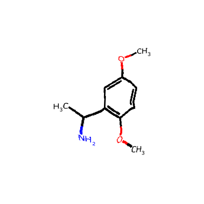 COc1ccc(OC)c(C(C)N)c1